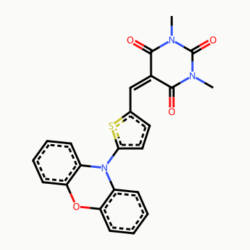 CN1C(=O)C(=Cc2ccc(N3c4ccccc4Oc4ccccc43)s2)C(=O)N(C)C1=O